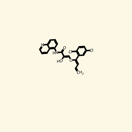 C=C/C=C(\O/C=C(\O)C(=O)Nc1cccc2ncccc12)c1cc(Cl)ccc1Cl